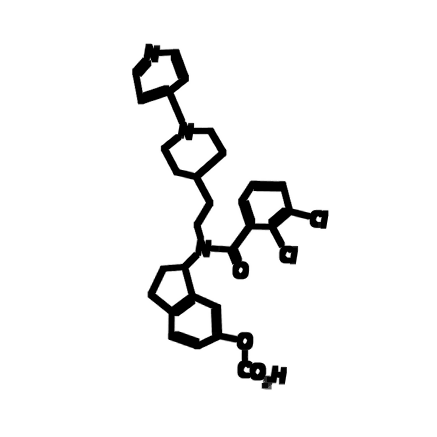 O=C(O)Oc1ccc2c(c1)C(N(CCC1CCN(c3ccncc3)CC1)C(=O)c1cccc(Cl)c1Cl)CC2